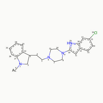 CC(=O)N1CC(CCN2CCN(c3cc4ccc(Cl)cc4[nH]3)CC2)c2ccccc21